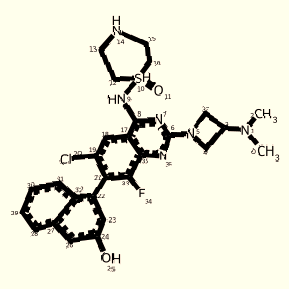 CN(C)C1CN(c2nc(N[SH]3(=O)CCNCC3)c3cc(Cl)c(-c4cc(O)cc5ccccc45)c(F)c3n2)C1